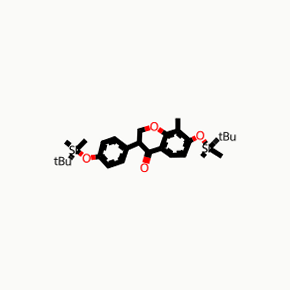 Cc1c(O[Si](C)(C)C(C)(C)C)ccc2c1OCC(c1ccc(O[Si](C)(C)C(C)(C)C)cc1)C2=O